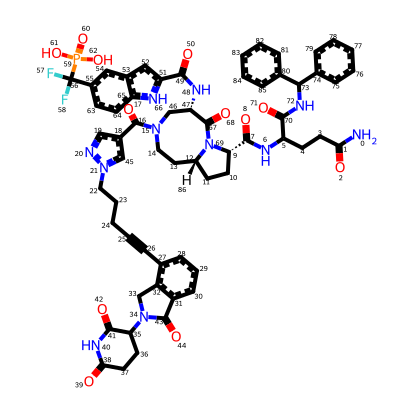 NC(=O)CCC(NC(=O)[C@@H]1CC[C@@H]2CCN(C(=O)c3cnn(CCCC#Cc4cccc5c4CN(C4CCC(=O)NC4=O)C5=O)c3)C[C@H](NC(=O)c3cc4cc(C(F)(F)P(=O)(O)O)ccc4[nH]3)C(=O)N21)C(=O)NC(c1ccccc1)c1ccccc1